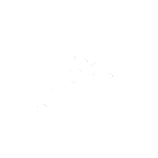 C=CC(=O)Nc1ccc2c(c1)c(C)cn2-c1nc(Nc2ccc(N3CCOCC3)cc2)ncc1F